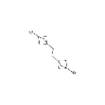 CC(C)C12CC(CCC34CC(C(F)(F)F)(C3)C4)(C1)C2